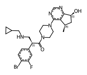 C[C@@H]1C[C@H](O)c2ncnc(N3CCN(C(=O)[C@H](CNCC4CC4)c4ccc(Br)c(F)c4)CC3)c21